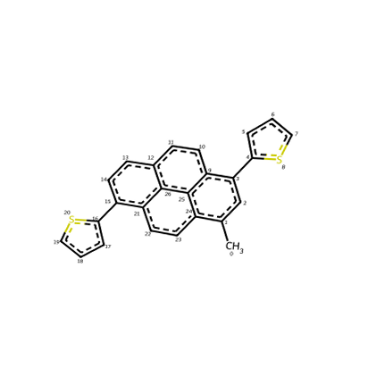 Cc1cc(-c2cccs2)c2ccc3ccc(-c4cccs4)c4ccc1c2c34